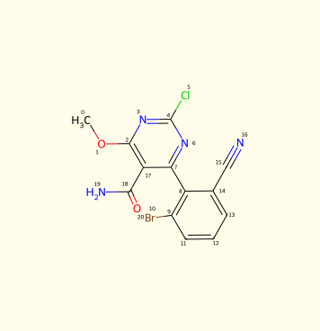 COc1nc(Cl)nc(-c2c(Br)cccc2C#N)c1C(N)=O